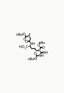 CCCCOC(=O)NC(=N)N(CCC[C@H](NC(=O)CN(C)C(=O)OCCCC)C(=O)O)C(=O)OCCCC